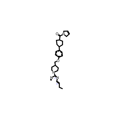 C=N/C(=N\C=C\CC)N1CCC(COc2ccc(C3CCC(C(=O)N4CC=CC4)CC3)cc2)CC1